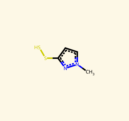 Cn1ccc(SS)n1